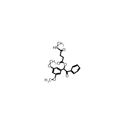 CNC(=O)CCC(=O)OC(C(=O)c1ccccc1)c1cc(OC)cc(OC)c1